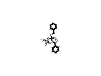 O=PC(OCc1ccccc1)(OCc1ccccc1)OS(=O)(=O)C(F)(F)F